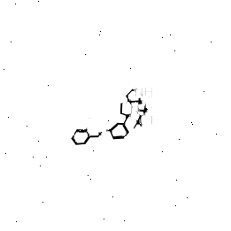 CC(C)(C)[C@@]1(c2cccc(OCc3ccccc3F)c2)CC[C@]2(CCNC2=O)N1C(=O)O